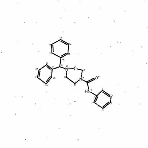 O=C(Nc1ccccc1)N1CCN(C(c2ccccc2)c2ccccc2)CC1